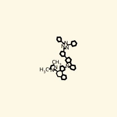 Cc1cc(C)nc(C2CCc3ccccc3-c3cc(-n4c5ccccc5c5ccc(-c6cccc(-c7nc(-c8ccccc8)nc(-c8ccccc8)n7)c6)cc54)ccc32)n1